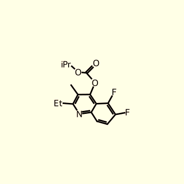 CCc1nc2ccc(F)c(F)c2c(OC(=O)OC(C)C)c1C